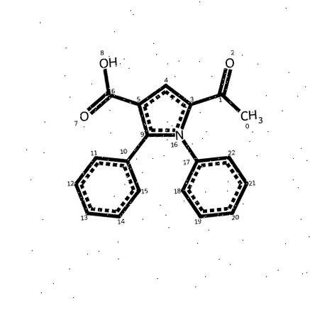 CC(=O)c1cc(C(=O)O)c(-c2ccccc2)n1-c1ccccc1